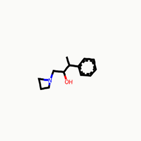 CC(c1ccccc1)C(O)CN1CCC1